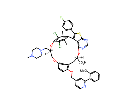 COc1ccccc1-c1cc(COc2ccc3cc2C[C@H](C(=O)O)Oc2ncnc4sc(-c5ccc(F)cc5)c(c24)-c2c(C)c(Cl)c(c(Cl)c2C)O[C@H](CN2CCN(C)CC2)CO3)ccn1